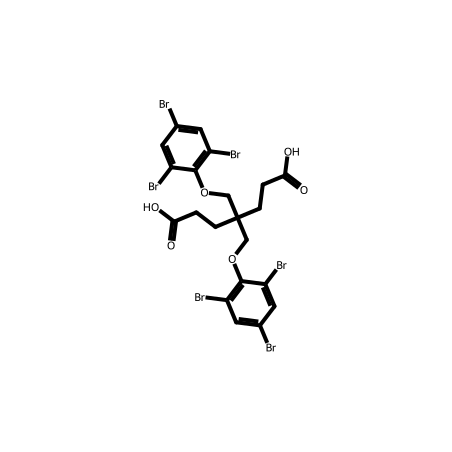 O=C(O)CCC(CCC(=O)O)(COc1c(Br)cc(Br)cc1Br)COc1c(Br)cc(Br)cc1Br